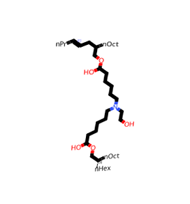 CCC/C=C/CC(CCCCCCCC)COC(O)CCCCCN(CCO)CCCCCC(O)OC[C@@H](CCCCCC)CCCCCCCC